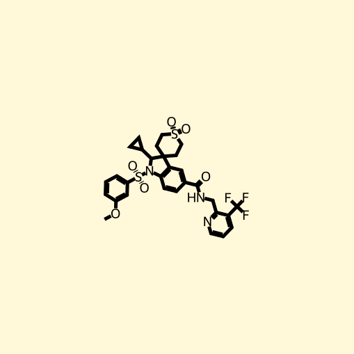 COc1cccc(S(=O)(=O)N2c3ccc(C(=O)NCc4ncccc4C(F)(F)F)cc3C3(CCS(=O)(=O)CC3)C2C2CC2)c1